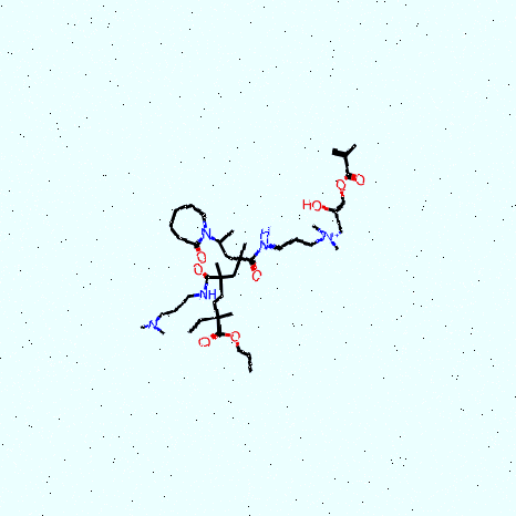 C=C(C)C(=O)OCC(O)C[N+](C)(C)CCCNC(=O)C(C)(CC(C)N1CCCCCC1=O)CC(C)(CCC(C)(CC)C(=O)OCCC)C(=O)NCCCN(C)C